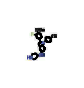 COc1ccc(-c2cc3cc(NC4CCNCC4)ccc3n2-c2ccc(C#N)cc2)cc1F